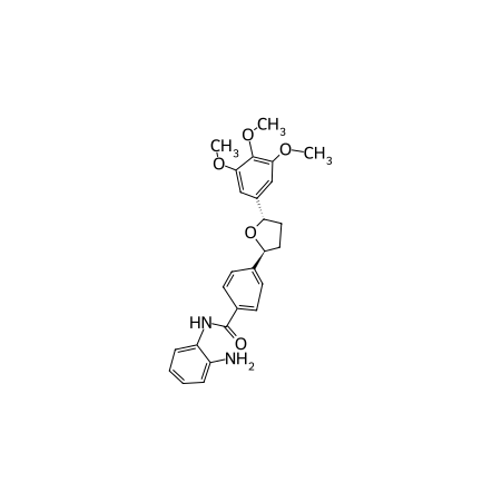 COc1cc([C@@H]2CC[C@@H](c3ccc(C(=O)Nc4ccccc4N)cc3)O2)cc(OC)c1OC